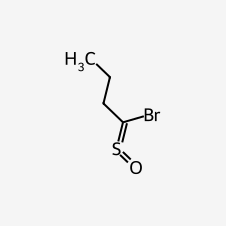 CCCC(Br)=S=O